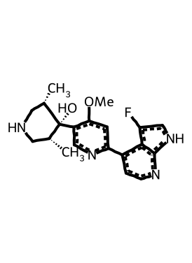 COc1cc(-c2ccnc3[nH]cc(F)c23)ncc1[C@@]1(O)[C@H](C)CNC[C@@H]1C